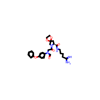 N=C(N)CCCCNC(=O)[C@@H]1CC2(CN1C(=O)CN(C=O)c1ccc(Oc3ccccc3)cc1)OCCO2